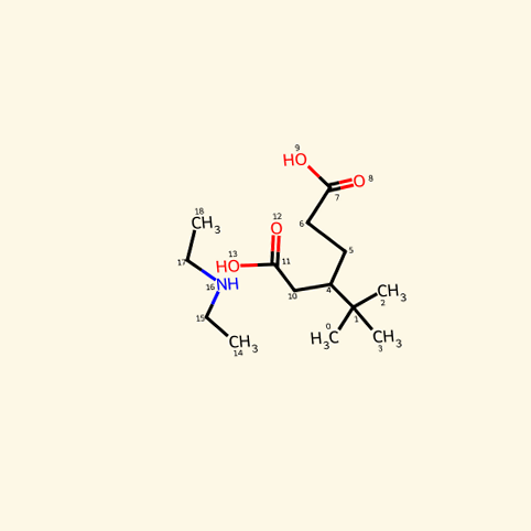 CC(C)(C)C(CCC(=O)O)CC(=O)O.CCNCC